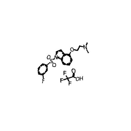 CN(C)CCOc1cccc2c1ccn2S(=O)(=O)c1cccc(F)c1.O=C(O)C(F)(F)F